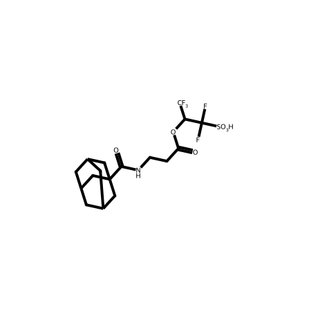 O=C(CCNC(=O)C12CC3CC(CC(C3)C1)C2)OC(C(F)(F)F)C(F)(F)S(=O)(=O)O